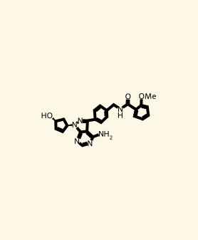 COc1ccccc1C(=O)NCc1ccc(-c2nn([C@H]3C=C[C@@H](O)C3)c3ncnc(N)c23)cc1